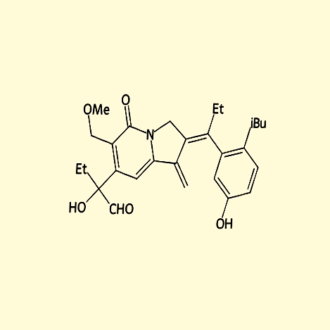 C=C1/C(=C(/CC)c2cc(O)ccc2C(C)CC)Cn2c1cc(C(O)(C=O)CC)c(COC)c2=O